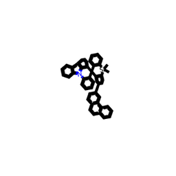 C[Si]1(C)c2ccccc2C2(c3ccccc3-n3c4ccccc4c4cccc2c43)c2cc(-c3ccc4ccc5ccccc5c4c3)ccc21